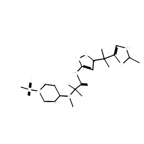 CC1NC=C(C(C)(C)C2C=C(NC(=O)C(C)(C)N(C)C3CCN(S(C)(=O)=O)CC3)ON2)O1